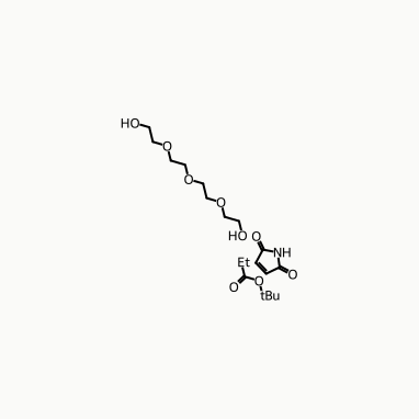 CCC(=O)OC(C)(C)C.O=C1C=CC(=O)N1.OCCOCCOCCOCCO